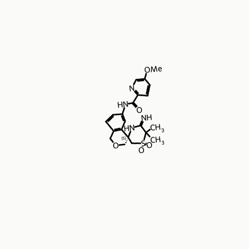 COc1ccc(C(=O)Nc2ccc3c(c2)[C@]2(COC3)CS(=O)(=O)C(C)(C)C(=N)N2)nc1